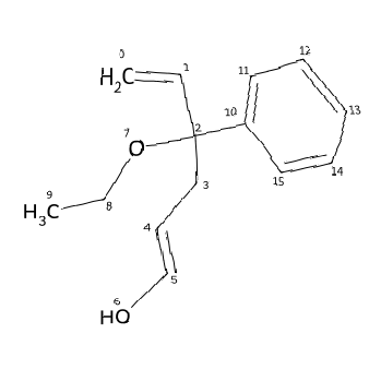 C=CC(CC=CO)(OCC)c1ccccc1